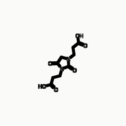 O=C(O)CCN1CC(=O)N(CCC(=O)O)C1=O